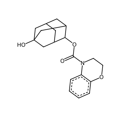 O=C(OC1C2CC3CC1CC(O)(C3)C2)N1CCOc2ccccc21